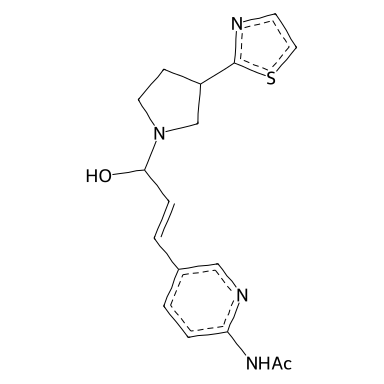 CC(=O)Nc1ccc(/C=C/C(O)N2CCC(c3nccs3)C2)cn1